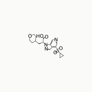 O=C(O)[C@H](CC1CCOCC1)n1ncc2c(S(=O)(=O)C3CC3)cncc21